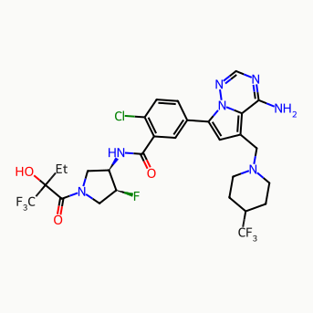 CCC(O)(C(=O)N1C[C@H](F)[C@H](NC(=O)c2cc(-c3cc(CN4CCC(C(F)(F)F)CC4)c4c(N)ncnn34)ccc2Cl)C1)C(F)(F)F